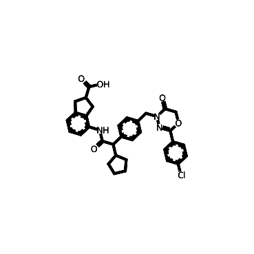 O=C(O)C1Cc2cccc(NC(=O)C(c3ccc(CN4N=C(c5ccc(Cl)cc5)OCC4=O)cc3)C3CCCC3)c2C1